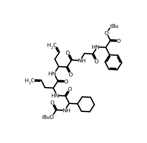 C=CCC(NC(=O)C(NC(=O)OCC(C)C)C1CCCCC1)C(=O)NC(CC=C)C(=O)C(=O)NCC(=O)NC(C(=O)OC(C)(C)C)c1ccccc1